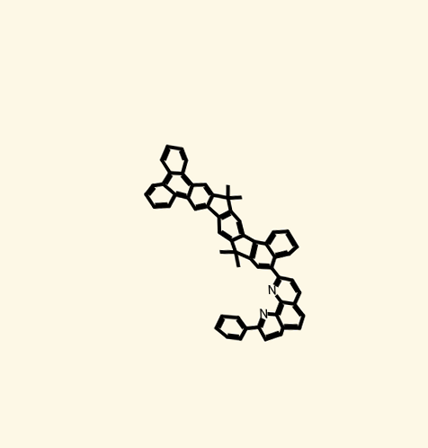 CC1(C)c2cc3c(cc2-c2cc4c5ccccc5c5ccccc5c4cc21)C(C)(C)c1cc(-c2ccc4ccc5ccc(-c6ccccc6)nc5c4n2)c2ccccc2c1-3